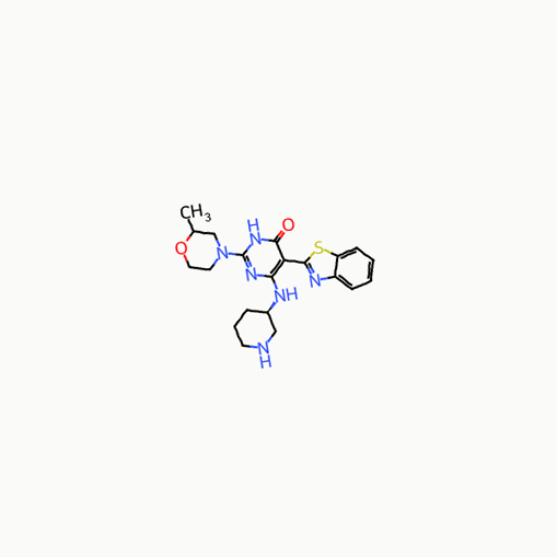 CC1CN(c2nc(N[C@@H]3CCCNC3)c(-c3nc4ccccc4s3)c(=O)[nH]2)CCO1